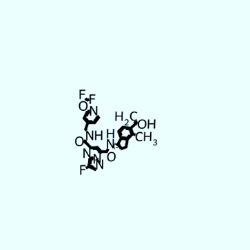 C=C(O)c1ccc2c(c1C)CC[C@@H]2NC(=O)c1cc(C(=O)NCc2ccnc(OC(F)F)c2)nc2c(F)cnn12